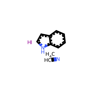 C.C#N.I.c1ccc2[nH]ccc2c1